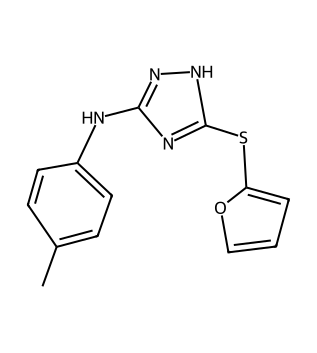 Cc1ccc(Nc2n[nH]c(Sc3ccco3)n2)cc1